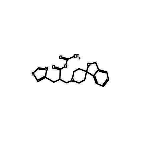 O=C(OC(=O)C(F)(F)F)C(Cc1cscn1)CN1CCC2(CC1)OCc1ccccc12